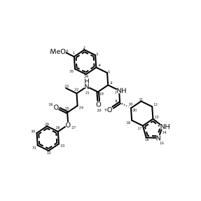 COc1ccc(CC(NC(=O)[C@@H]2CCc3[nH]ncc3C2)C(=O)NC(C)CC(=O)Oc2ccccc2)cc1